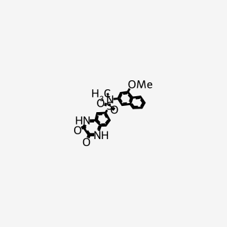 COc1cc(N(C)S(=O)(=O)c2ccc3[nH]c(=O)c(=O)[nH]c3c2)cc2ccccc12